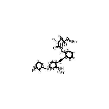 CCCNc1nc(Nc2cccc(F)c2)ncc1C#Cc1ccccc1CNC(=O)[C@H](C)N(C)C(=O)OC(C)(C)C